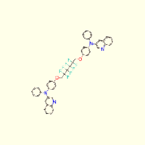 FC(F)(COc1ccc(N(c2ccccc2)c2cnc3ccccc3c2)cc1)C(F)(F)C(F)(F)C(F)(F)COc1ccc(N(c2ccccc2)c2cnc3ccccc3c2)cc1